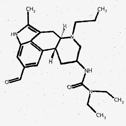 CCCN1CC(NC(=O)N(CC)CC)C[C@@H]2c3cc(C=O)cc4[nH]c(C)c(c34)C[C@H]21